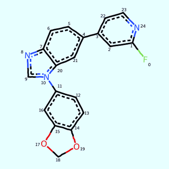 Fc1cc(-c2ccc3ncn(-c4ccc5c(c4)OCO5)c3c2)ccn1